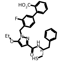 CCOc1cc(C(=O)N[C@@H](CS)Cc2ccccc2)nn1Cc1ccc(-c2ccccc2C(=O)O)cc1F